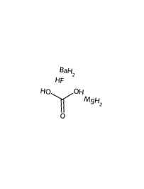 F.O=C(O)O.[BaH2].[MgH2]